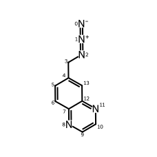 [N-]=[N+]=NCc1ccc2nccnc2c1